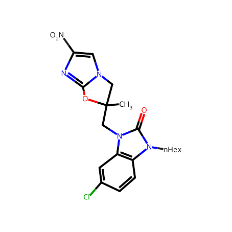 CCCCCCn1c(=O)n(CC2(C)Cn3cc([N+](=O)[O-])nc3O2)c2cc(Cl)ccc21